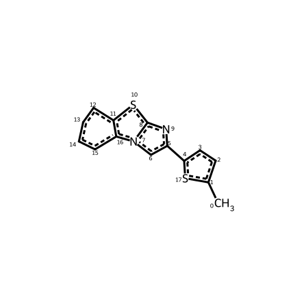 Cc1ccc(-c2cn3c(n2)sc2ccccc23)s1